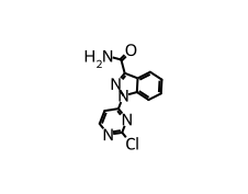 NC(=O)c1nn(-c2ccnc(Cl)n2)c2ccccc12